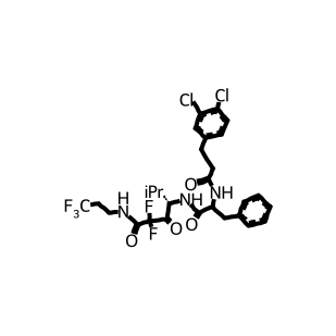 CC(C)[C@H](NC(=O)C(Cc1ccccc1)NC(=O)CCc1ccc(Cl)c(Cl)c1)C(=O)C(F)(F)C(=O)NCCC(F)(F)F